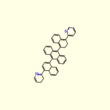 C1=CC2C(C3=NC=CCC3)=CC=C(c3c4ccccc4c(C4=c5ccccc5=C(c5ccccn5)CC4)c4ccccc34)C2C=C1